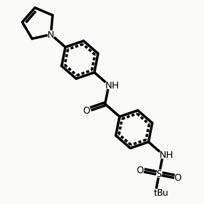 CC(C)(C)S(=O)(=O)Nc1ccc(C(=O)Nc2ccc(N3CC=CC3)cc2)cc1